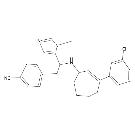 Cn1cncc1C(Cc1ccc(C#N)cc1)NC1C=C(c2cccc(Cl)c2)CCCC1